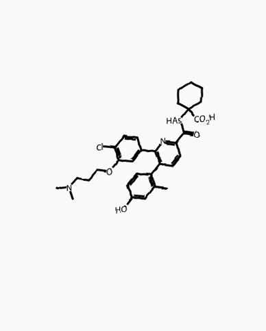 Cc1cc(O)ccc1-c1ccc(C(=O)[AsH]C2(C(=O)O)CCCCC2)nc1-c1ccc(Cl)c(OCCCN(C)C)c1